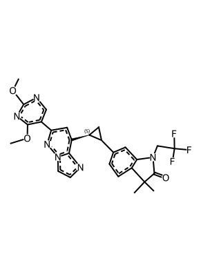 COc1ncc(-c2cc([C@H]3CC3c3ccc4c(c3)N(CC(F)(F)F)C(=O)C4(C)C)c3nccn3n2)c(OC)n1